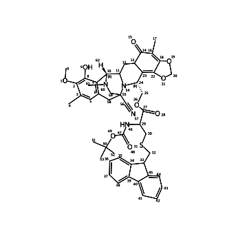 COc1c(C)cc2c(c1O)[C@@H]1C3CC4C(=O)C(C)=C5OCOC5=C4[C@H](COC(=O)C(CSCC4c5ccccc5-c5ccccc54)NC(=O)OC(C)(C)C)N3C(C#N)(C2)CN1C